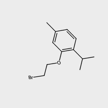 Cc1ccc(C(C)C)c(OCCBr)c1